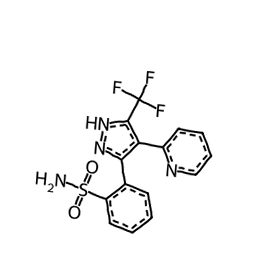 NS(=O)(=O)c1ccccc1-c1n[nH]c(C(F)(F)F)c1-c1ccccn1